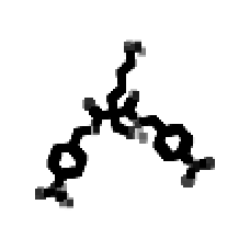 CCCCCC(CC)(C(=O)OCc1ccc([N+](=O)[O-])cc1)C(=O)OCc1ccc([N+](=O)[O-])cc1